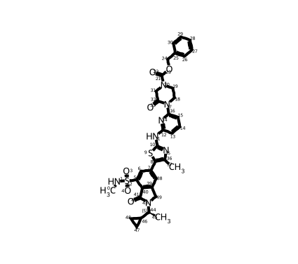 CNS(=O)(=O)c1cc(-c2sc(Nc3cccc(N4CCN(C(=O)OCc5ccccc5)CC4=O)n3)nc2C)cc2c1C(=O)N([C@@H](C)C1CC1)C2